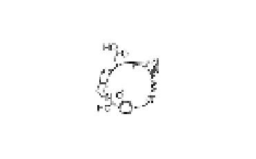 COc1cc2ccc1C(O)N1CCc3ccc(cc3C1)C(CC(=O)O)c1ccc3c(nnn3CCCOC2)c1C